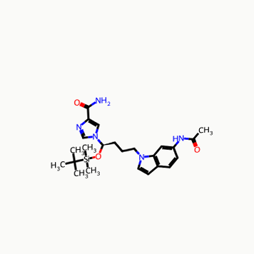 CC(=O)Nc1ccc2ccn(CCC[C@@H](O[Si](C)(C)C(C)(C)C)n3cnc(C(N)=O)c3)c2c1